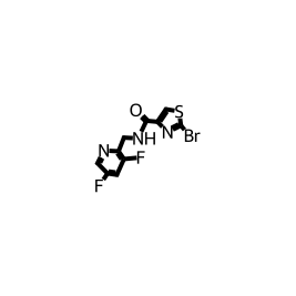 O=C(NCc1ncc(F)cc1F)c1csc(Br)n1